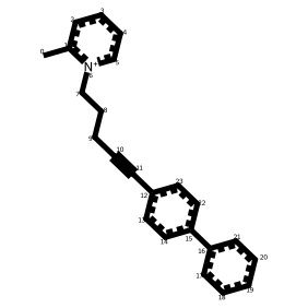 Cc1cccc[n+]1CCCC#Cc1ccc(-c2ccccc2)cc1